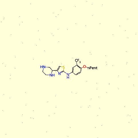 CCCCCOc1ccc(Nc2nc(C3CNCCN3)cs2)cc1C(F)(F)F